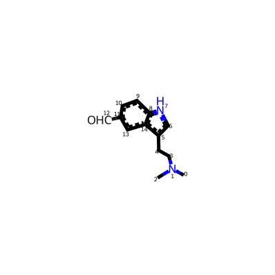 CN(C)CCc1c[nH]c2ccc(C=O)cc12